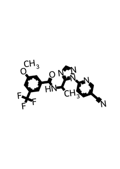 COc1cc(C(=O)NC(C)c2ncnn2-c2ccc(C#N)cn2)cc(C(F)(F)F)c1